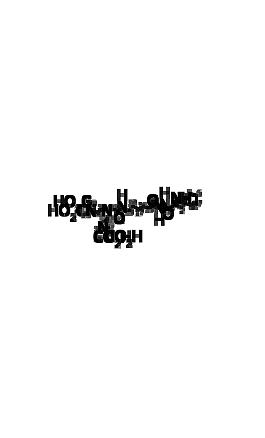 N[C@H](Cc1ccccc1)C(=O)NNC(=O)CCCCCNC(=O)CN(CCN(CC(=O)O)CC(=O)O)CCN(CC(=O)O)CC(=O)O